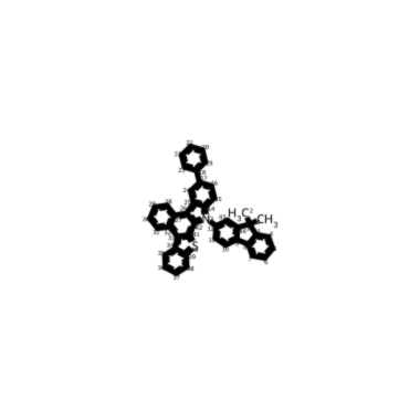 CC1(C)c2ccccc2-c2ccc(-n3c4ccc(-c5ccccc5)cc4c4c5ccccc5c5c6ccccc6sc5c43)cc21